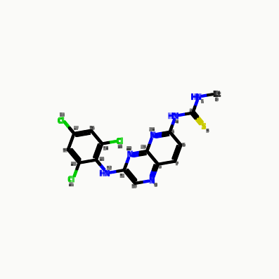 CCNC(=S)Nc1ccc2ncc(Nc3c(Cl)cc(Cl)cc3Cl)nc2n1